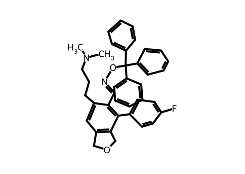 CN(C)CCCc1cc2c(c(-c3ccc(F)cc3)c1C=NOC(c1ccccc1)(c1ccccc1)c1ccccc1)COC2